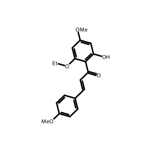 CCOc1cc(OC)cc(O)c1C(=O)C=Cc1ccc(OC)cc1